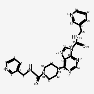 S=C(NCc1cccnc1)N1CCN(c2ncnc3c2ncn3C(=S)NCc2cccnc2)CC1